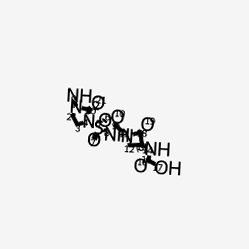 NN1CCN(S(=O)(=O)NC(=O)N2C[C@H](NC(=O)O)C2=O)C1=O